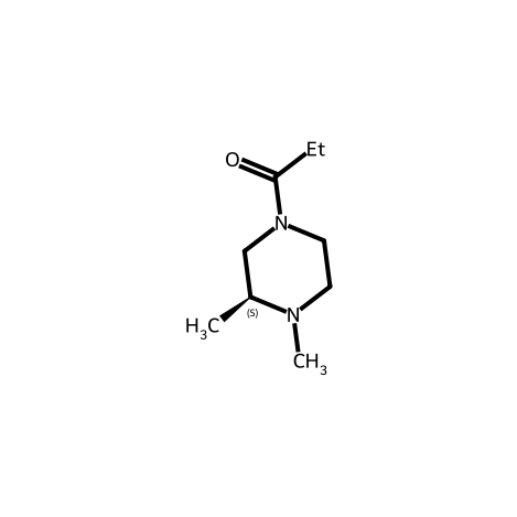 CCC(=O)N1CCN(C)[C@@H](C)C1